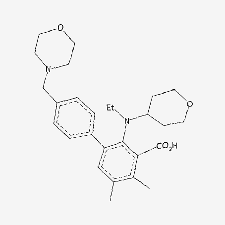 CCN(c1c(-c2ccc(CN3CCOCC3)cc2)cc(C)c(C)c1C(=O)O)C1CCOCC1